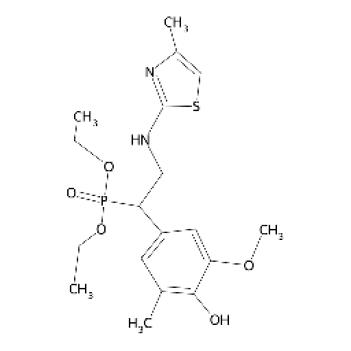 CCOP(=O)(OCC)C(CNc1nc(C)cs1)c1cc(C)c(O)c(OC)c1